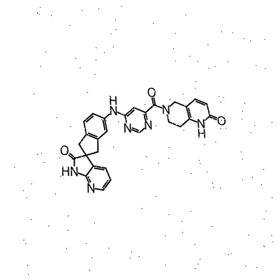 O=C(c1cc(Nc2ccc3c(c2)CC2(C3)C(=O)Nc3ncccc32)ncn1)N1CCc2[nH]c(=O)ccc2C1